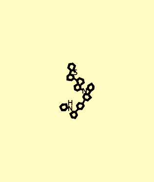 c1ccc(Nc2ccccc2-c2ccc(-c3ccc4c5ccccc5n(-c5cccc6c(-c7cccc8c7sc7ccccc78)cccc56)c4c3)cc2)cc1